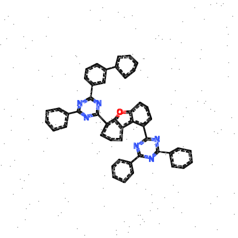 c1ccc(-c2cccc(-c3nc(-c4ccccc4)nc(-c4cccc5c4oc4cccc(-c6nc(-c7ccccc7)nc(-c7ccccc7)n6)c45)n3)c2)cc1